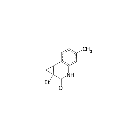 CCC12CC1c1ccc(C)cc1NC2=O